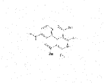 CNc1cccc(C2C(C(=O)O)=C(C)NC(C)=C2C(=O)O)c1